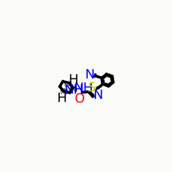 N#Cc1ccccc1-c1ncc(C(=O)N[C@@H]2C[C@H]3CC[C@@H]2N3)s1